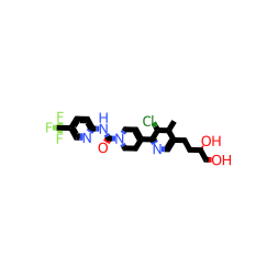 CC1C(CC[C@H](O)CO)=CN=C(C2=CCN(C(=O)Nc3ccc(C(F)(F)F)cn3)CC2)C1Cl